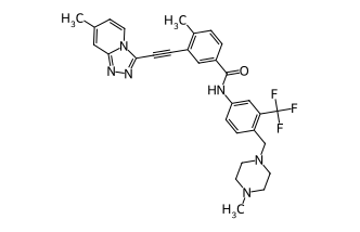 Cc1ccn2c(C#Cc3cc(C(=O)Nc4ccc(CN5CCN(C)CC5)c(C(F)(F)F)c4)ccc3C)nnc2c1